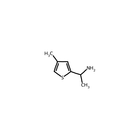 Cc1csc(C(C)N)c1